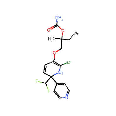 CC(C)CC(C)(COC1=C(Cl)NC(c2ccncc2)(C(F)F)C=C1)OC(N)=O